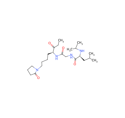 CCC(=O)[C@H](CCCCN1CCCC1=O)NC(=O)CNC(=O)[C@H](CC(C)C)NC(C)C